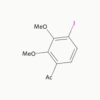 COc1c(I)ccc(C(C)=O)c1OC